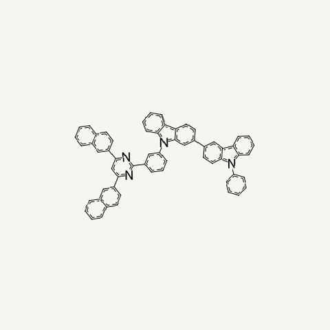 c1ccc(-n2c3ccccc3c3cc(-c4ccc5c6ccccc6n(-c6cccc(-c7nc(-c8ccc9ccccc9c8)cc(-c8ccc9ccccc9c8)n7)c6)c5c4)ccc32)cc1